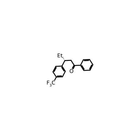 CC[C@H](CC(=O)c1ccccc1)c1ccc(C(F)(F)F)cc1